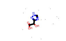 O=C(O)C(O)c1nc[nH]n1